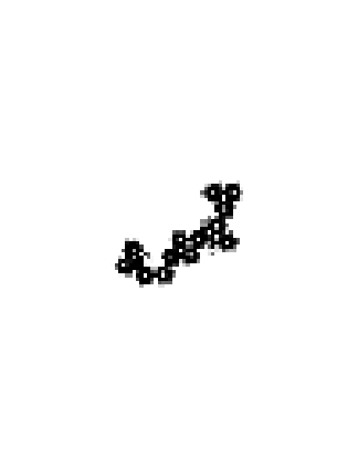 O=c1c2ccccc2c2ccccc2n1-c1cccc(-c2cccc(-c3ccc4c5ccccc5c5c(-c6ccc7c(c6)-n6c(=O)c8ccccc8c8cc(-c9ccc%10c%11ccccc%11c%11ccccc%11c%10c9)cc(c86)S7)cccc5c4c3)c2)c1